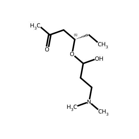 CC[C@@H](CC(C)=O)OC(O)CCN(C)C